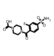 NS(=O)(=O)c1ccc(C(=O)N2CCN(C(=O)O)CC2)c(F)c1